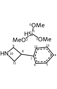 CO[SiH](OC)OC.c1ccc(C2CNC2)cc1